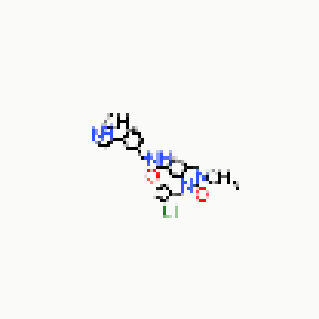 CN1Cc2ccc(C(=O)NCc3cccc(-c4ccnn4C)c3)cc2N(CC2C=CC=C2Cl)C1=O